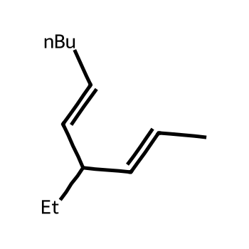 [CH2]CC(C=CC)C=CCCCC